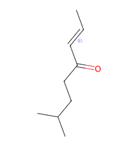 C/C=C/C(=O)CCC(C)C